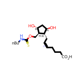 CCCCNC(=S)OC[C@@H]1[C@@H](C/C=C\CCCC(=O)O)[C@H](O)C[C@H]1O